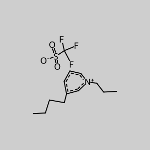 CCCCc1ccc[n+](CCC)c1.O=S(=O)([O-])C(F)(F)F